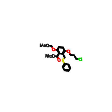 COCOc1ccc(OCCCCl)c(CSc2ccccc2)c1C(=O)OC